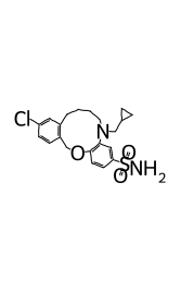 NS(=O)(=O)c1ccc2c(c1)N(CC1CC1)CCCCc1cc(Cl)ccc1CO2